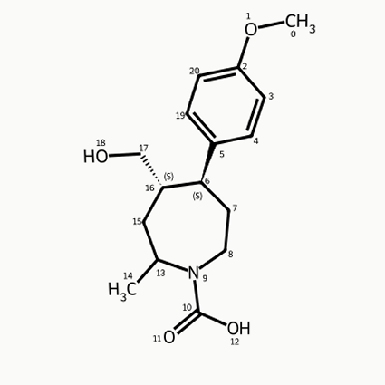 COc1ccc([C@H]2CCN(C(=O)O)C(C)C[C@@H]2CO)cc1